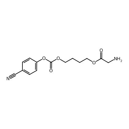 N#Cc1ccc(OC(=O)OCCCCOC(=O)CN)cc1